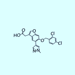 Cn1cc(-c2cc3c(CC(=O)O)coc3cc2OCc2ccc(Cl)cc2Cl)cn1